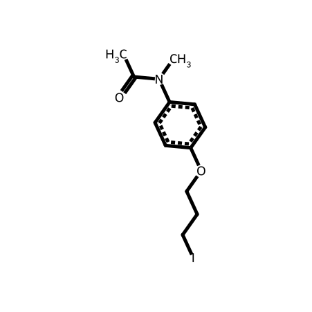 CC(=O)N(C)c1ccc(OCCCI)cc1